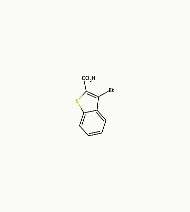 CCc1c(C(=O)O)sc2ccccc12